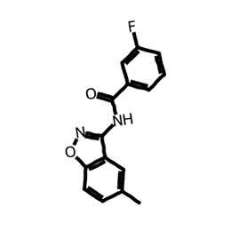 Cc1ccc2onc(NC(=O)c3cccc(F)c3)c2c1